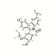 CC[C@@H](C)Oc1cc2c(cc1OC)CC(=O)N(c1ccc(C(C)C)cc1)C2c1ccc(Cl)cc1